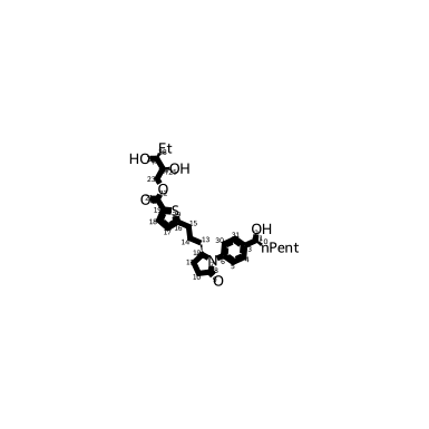 CCCCC[C@H](O)c1ccc(N2C(=O)CC[C@@H]2CCCc2ccc(C(=O)OC[C@H](O)[C@@H](O)CC)s2)cc1